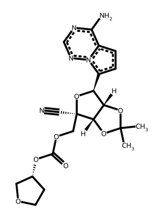 CC1(C)O[C@H]2[C@H](c3ccc4c(N)ncnn34)O[C@](C#N)(COC(=O)O[C@@H]3CCOC3)[C@H]2O1